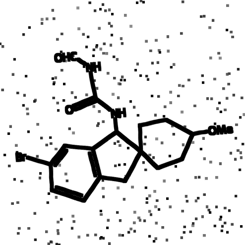 COC1CCC2(CC1)Cc1ccc(Br)cc1C2NC(=O)NC=O